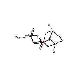 COC(=O)C=C1C[C@H]2CC[C@@H](C1)N2C(=O)OC(C)(C)C